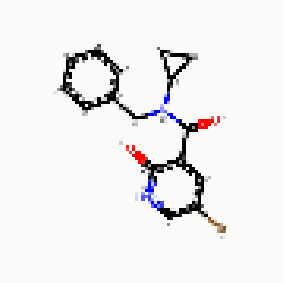 O=C(c1cc(Br)c[nH]c1=O)N(Cc1ccccc1)C1CC1